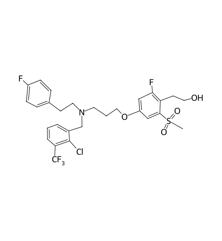 CS(=O)(=O)c1cc(OCCCN(CCc2ccc(F)cc2)Cc2cccc(C(F)(F)F)c2Cl)cc(F)c1CCO